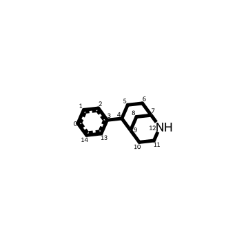 c1ccc(C2CCC3CC2CCN3)cc1